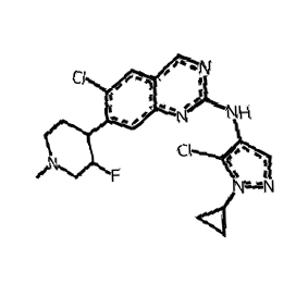 CN1CCC(c2cc3nc(Nc4cnn(C5CC5)c4Cl)ncc3cc2Cl)C(F)C1